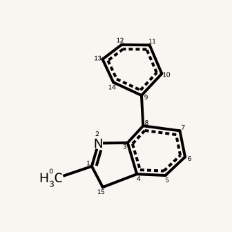 CC1=Nc2c(cccc2-c2ccccc2)C1